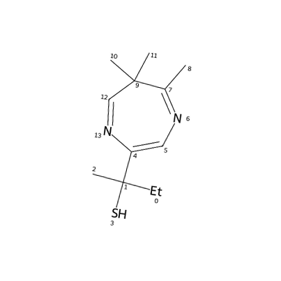 CCC(C)(S)C1=CN=C(C)C(C)(C)C=N1